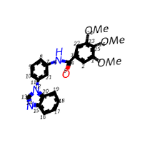 COc1cc(C(=O)Nc2cccc(-n3cnc4ccccc43)c2)cc(OC)c1OC